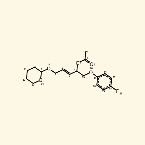 CC(=O)OC(C=CCOC1CCCCO1)COc1ccc(F)cc1